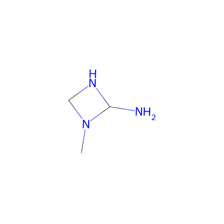 CN1CNC1N